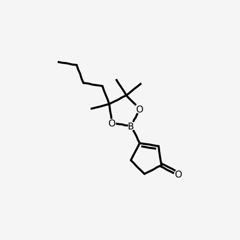 CCCCC1(C)OB(C2=CC(=O)CC2)OC1(C)C